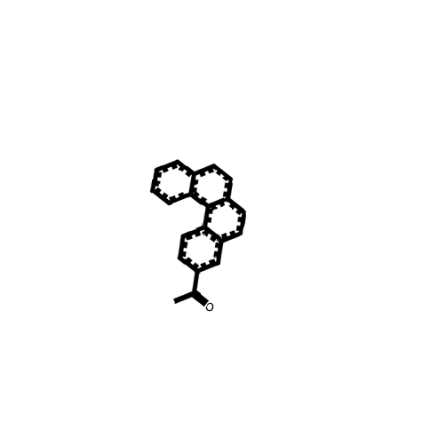 CC(=O)c1ccc2c(ccc3ccc4ccccc4c32)c1